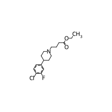 CCOC(=O)CCCN1CCC(c2ccc(Cl)c(F)c2)CC1